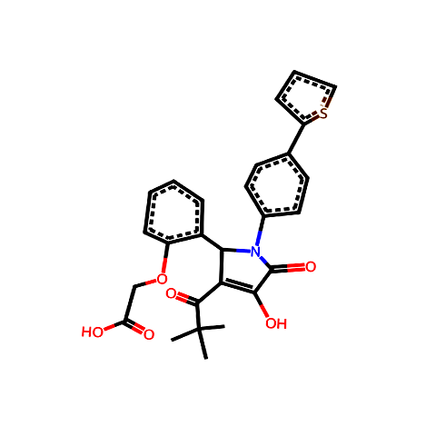 CC(C)(C)C(=O)C1=C(O)C(=O)N(c2ccc(-c3cccs3)cc2)C1c1ccccc1OCC(=O)O